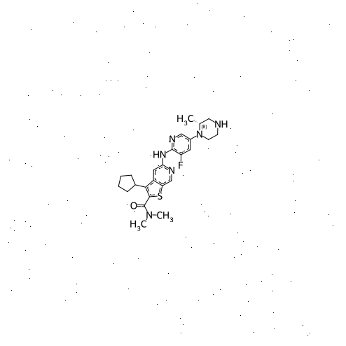 C[C@@H]1CNCCN1c1cnc(Nc2cc3c(C4CCCC4)c(C(=O)N(C)C)sc3cn2)c(F)c1